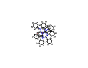 c1ccc(-c2ccccc2-c2nc(-c3ccccc3-c3ccccc3)nc(-n3c4ccccc4c4ccc5c6ccccc6n(-c6ccccc6-c6ccccc6)c5c43)n2)cc1